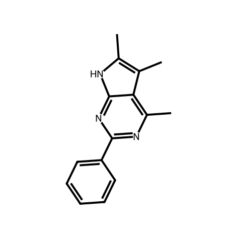 Cc1[nH]c2nc(-c3ccccc3)nc(C)c2c1C